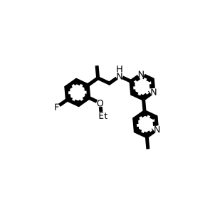 CCOc1cc(F)ccc1C(C)CNc1cc(-c2ccc(C)nc2)ncn1